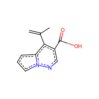 C=C(C)c1c(C(=O)O)cnn2cccc12